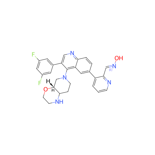 O/N=C/c1ncccc1-c1ccc2ncc(-c3cc(F)cc(F)c3)c(N3CCC4NCCO[C@@H]4C3)c2c1